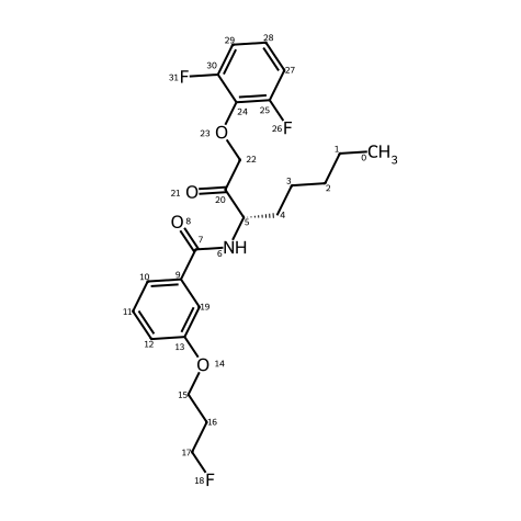 CCCCC[C@H](NC(=O)c1cccc(OCCCF)c1)C(=O)COc1c(F)cccc1F